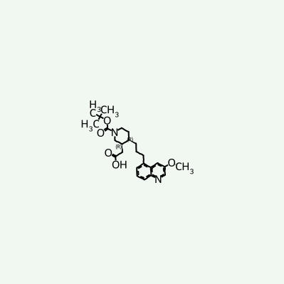 COc1cnc2cccc(CCC[C@@H]3CCN(C(=O)OC(C)(C)C)C[C@@H]3CC(=O)O)c2c1